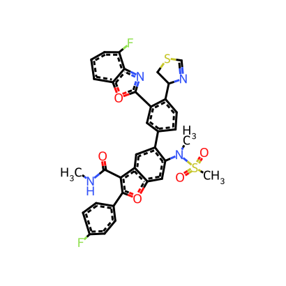 CNC(=O)c1c(-c2ccc(F)cc2)oc2cc(N(C)S(C)(=O)=O)c(-c3ccc(C4CSC=N4)c(-c4nc5c(F)cccc5o4)c3)cc12